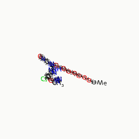 COCCOCCOCCOCCOCCOCCOCCCOc1nn([C@H]2CC[C@H](N3CCOCC3)CC2)cc1Nc1ncc(-c2ccc(Cl)c(O[C@@H](C)Cn3cncn3)c2)cn1